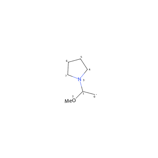 [CH2]C(OC)N1CCCC1